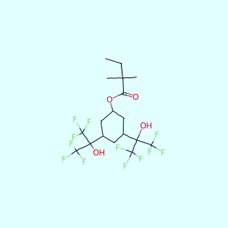 CCC(C)(C)C(=O)OC1CC(C(O)(C(F)(F)F)C(F)(F)F)CC(C(O)(C(F)(F)F)C(F)(F)F)C1